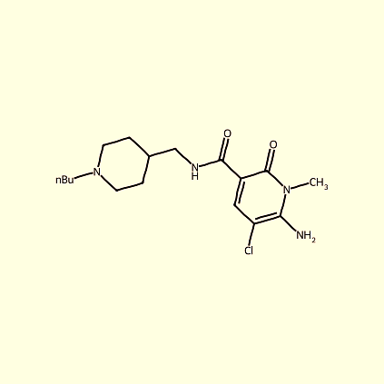 CCCCN1CCC(CNC(=O)c2cc(Cl)c(N)n(C)c2=O)CC1